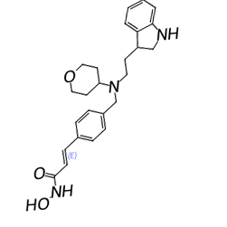 O=C(/C=C/c1ccc(CN(CCC2CNc3ccccc32)C2CCOCC2)cc1)NO